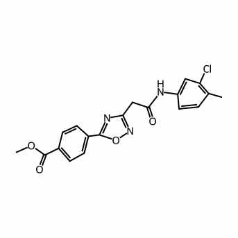 COC(=O)c1ccc(-c2nc(CC(=O)Nc3ccc(C)c(Cl)c3)no2)cc1